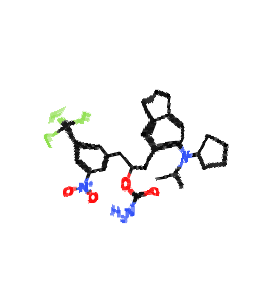 CC(C)N(c1cc2c(cc1CC(Cc1cc([N+](=O)[O-])cc(C(F)(F)F)c1)OC(N)=O)CCC2)C1CCCC1